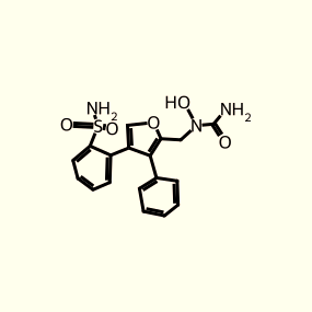 NC(=O)N(O)Cc1occ(-c2ccccc2S(N)(=O)=O)c1-c1ccccc1